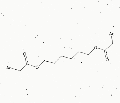 CC(=O)CC(=O)OCCCCCCOC(=O)CC(C)=O